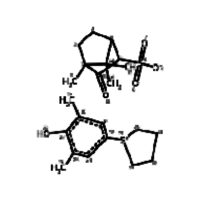 CC12CCC(C(S(=O)(=O)[O-])C1=O)C2(C)C.Cc1cc([S+]2CCCC2)cc(C)c1O